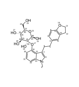 Cn1cc(CCc2ccc3c(c2)CCO3)c2c(O[C@]3(O)[C@H](O)O[C@H](CO)[C@@H](O)[C@@H]3O)cccc21